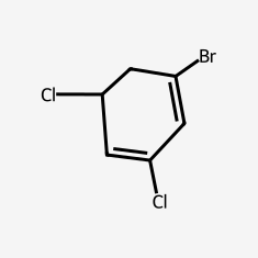 ClC1=CC(Cl)CC(Br)=C1